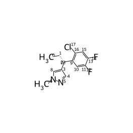 CC[C@@H](c1cnn(C)c1)c1cc(F)c(F)cc1Cl